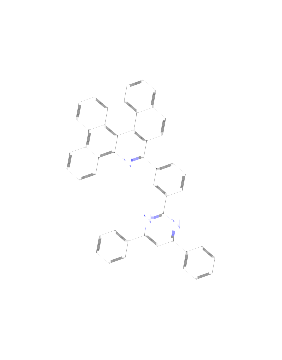 c1ccc(-c2cc(-c3ccccc3)nc(-c3cccc(-c4nc5c6ccccc6c6ccccc6c5c5c4ccc4ccccc45)c3)n2)cc1